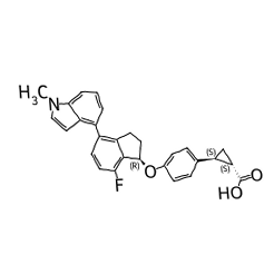 Cn1ccc2c(-c3ccc(F)c4c3CC[C@H]4Oc3ccc([C@H]4C[C@@H]4C(=O)O)cc3)cccc21